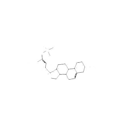 CCOC(=O)/C(=C\[C@@H](C)[C@H]1CCC2C3CC=C4C[C@@H](OC(C)=O)CC[C@]4(C)C3CC[C@@]21C)O[Si](C)(C)C(C)(C)C